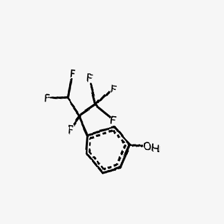 Oc1cccc(C(F)(C(F)F)C(F)(F)F)c1